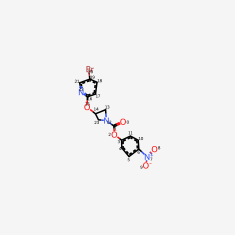 O=C(Oc1ccc([N+](=O)[O-])cc1)N1CC(Oc2ccc(Br)cn2)C1